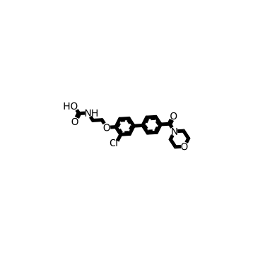 O=C(O)NCCOc1ccc(-c2ccc(C(=O)N3CCOCC3)cc2)cc1Cl